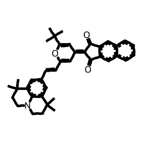 CC(C)(C)C1=CC(=C2C(=O)c3cc4ccccc4cc3C2=O)C=C(C=Cc2cc3c4c(c2)C(C)(C)CCN4CCC3(C)C)O1